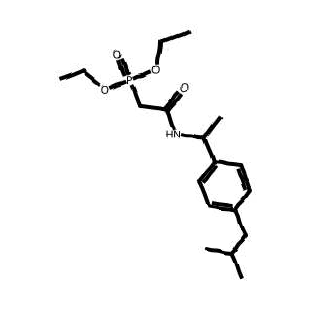 CCOP(=O)(CC(=O)NC(C)c1ccc(CC(C)C)cc1)OCC